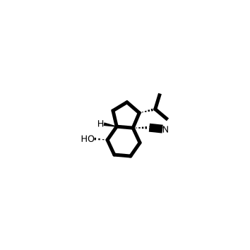 CC(C)[C@H]1CC[C@H]2[C@@H](O)CCC[C@]12C#N